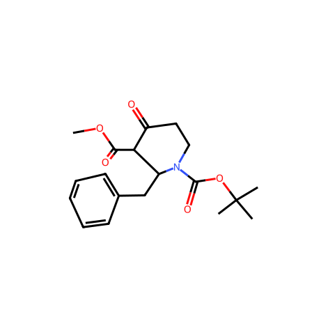 COC(=O)C1C(=O)CCN(C(=O)OC(C)(C)C)C1Cc1ccccc1